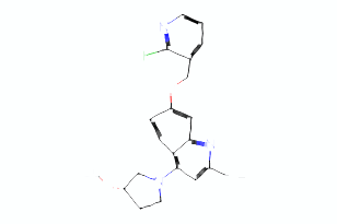 CCO[C@H]1CCN(c2cc(C)nc3cc(OCc4cccnc4Cl)ccc23)C1